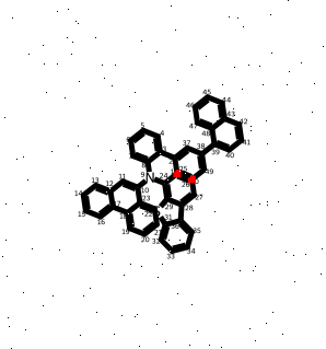 c1cc(-c2ccccc2N(c2cc3ccccc3c3ccccc23)c2cccc3c2sc2ccccc23)cc(-c2cccc3ccccc23)c1